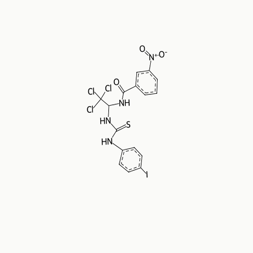 O=C(NC(NC(=S)Nc1ccc(I)cc1)C(Cl)(Cl)Cl)c1cccc([N+](=O)[O-])c1